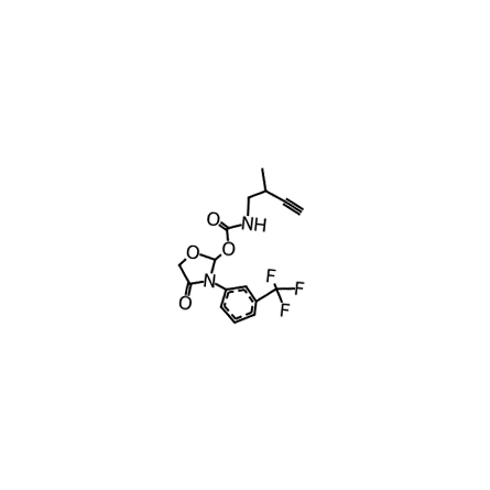 C#CC(C)CNC(=O)OC1OCC(=O)N1c1cccc(C(F)(F)F)c1